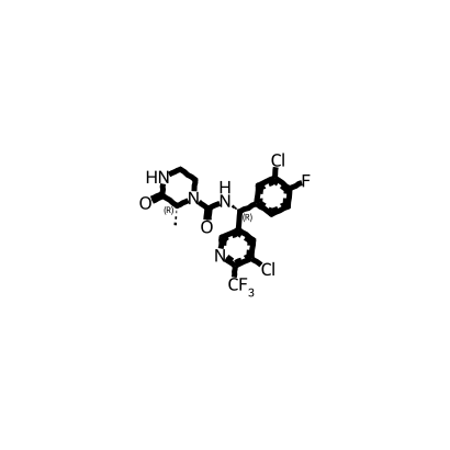 C[C@@H]1C(=O)NCCN1C(=O)N[C@H](c1ccc(F)c(Cl)c1)c1cnc(C(F)(F)F)c(Cl)c1